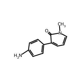 Cn1cccc(-c2ccc(N)cc2)c1=O